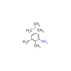 CP(C)C.Cc1cccc(N)c1C